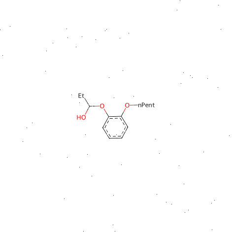 CCCCCOc1ccccc1OC(O)CC